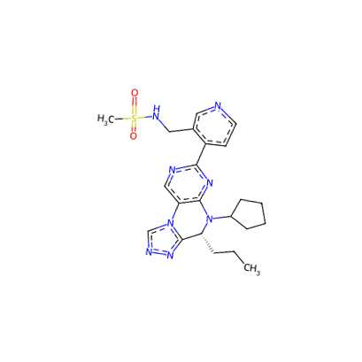 CCC[C@@H]1c2nncn2-c2cnc(-c3ccncc3CNS(C)(=O)=O)nc2N1C1CCCC1